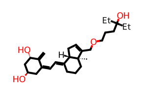 C=C1/C(=C\C=C2/CCC[C@]3(C)C(COCCCC(O)(CC)CC)=CC[C@@H]23)C[C@@H](O)C[C@@H]1O